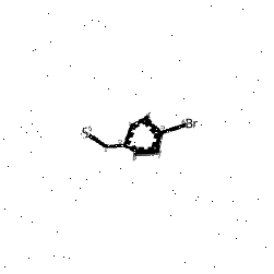 [S]Cc1ccc(Br)cc1